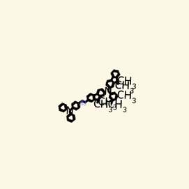 Cc1cc(C)cc(N(c2ccc3c(c2)C(C)(C)c2ccccc2-3)c2ccc3c(c2)C(C)(C)c2cc(/C=C/c4ccc(N(c5ccccc5)c5ccccc5)cc4)ccc2-3)c1